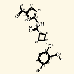 COc1cc(F)ccc1O[C@H]1C[C@H](C(=O)Nc2nc(C(C)=O)cs2)C1